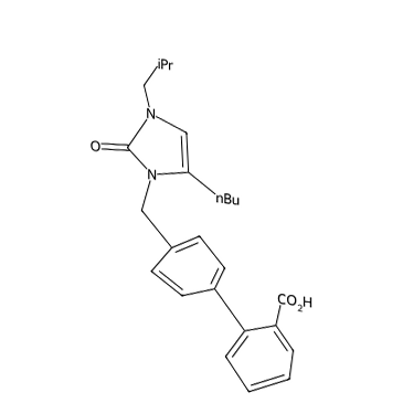 CCCCc1cn(CC(C)C)c(=O)n1Cc1ccc(-c2ccccc2C(=O)O)cc1